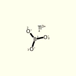 [O-]B([O-])[O-].[Tl+3]